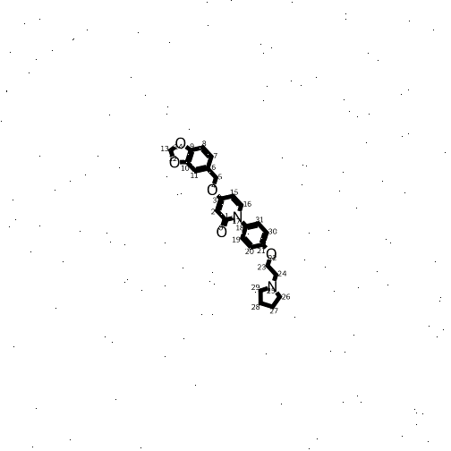 O=c1cc(OCc2ccc3c(c2)OCO3)ccn1-c1ccc(OCCN2CCCC2)cc1